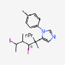 CCCC(C)(c1cncn1-c1ccc(C)cc1)[C@@H](I)C(C)C(C)I